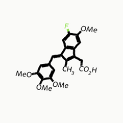 COc1cc2c(cc1F)C(=Cc1cc(OC)c(OC)c(OC)c1)C(C)=C2CC(=O)O